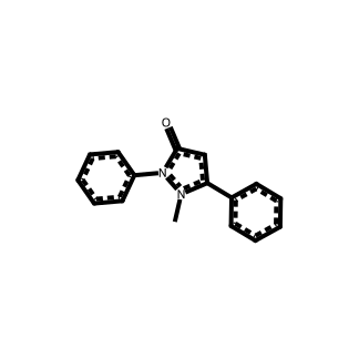 Cn1c(-c2ccccc2)cc(=O)n1-c1ccccc1